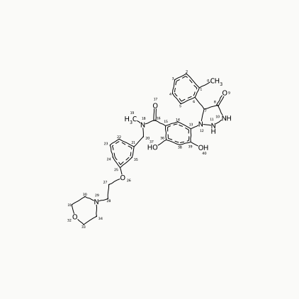 Cc1ccccc1C1C(=O)NNN1c1cc(C(=O)N(C)Cc2cccc(OCCN3CCOCC3)c2)c(O)cc1O